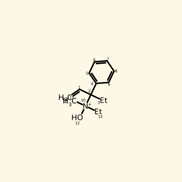 C=CC(CC)(c1ccccc1)[N+](C)(O)CC